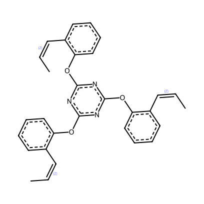 C/C=C\c1ccccc1Oc1nc(Oc2ccccc2/C=C\C)nc(Oc2ccccc2/C=C\C)n1